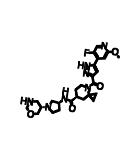 COc1cc(-c2cc(C(=O)N3CC[C@H](C(=O)N[C@H]4CCN([C@H]5CNCOC5)C4)CC34CC4)n[nH]2)c(F)cn1